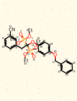 CCOP(=O)(OCC)C(Cc1cccc(C#N)c1)(Oc1ccc(OCc2ccccc2)cc1)P(=O)(OCC)OCC